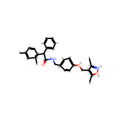 Cc1ccc(C(C(=O)NCc2ccc(OCc3c(C)noc3C)cc2)c2ccccc2)c(C)c1